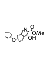 COC(=O)c1ncc2cc(OC3=CCCC=C3)ccc2c1O